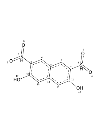 O=[SH](=O)c1cc2cc([SH](=O)=O)c(O)cc2cc1O